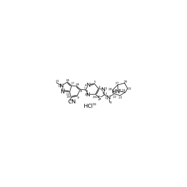 CN(c1nc2cnc(-c3cc(C#N)c4nn(C)cc4c3)nc2s1)C1CC2CCC(C1)N2.Cl